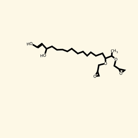 CC(OCC1CO1)C(CCCCCCCCCCCC(O)C=CO)OCC1CO1